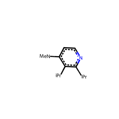 CNc1ccnc(C(C)C)c1C(C)C